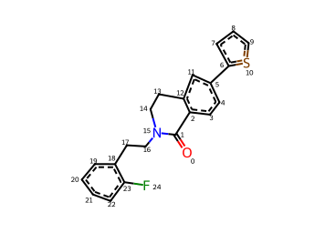 O=C1c2ccc(-c3cccs3)cc2CCN1CCc1ccccc1F